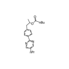 CCCCC(=O)OC(C)Cc1ccc(-c2ncc(CCC)cn2)cc1